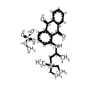 CC[N+](C)(CC)CC(C)Nc1cccc2c1C(=O)c1ccccc1C2=O.COS(=O)(=O)[O-]